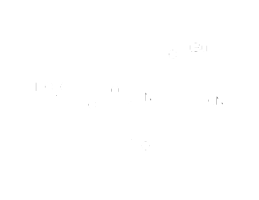 CC(C)(C)OCCN1C(=O)c2c(OCC(=O)O)cccc2Oc2ccc(C#N)cc21